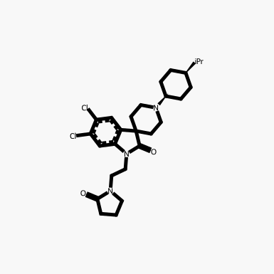 CC(C)[C@H]1CC[C@@H](N2CCC3(CC2)C(=O)N(CCN2CCCC2=O)c2cc(Cl)c(Cl)cc23)CC1